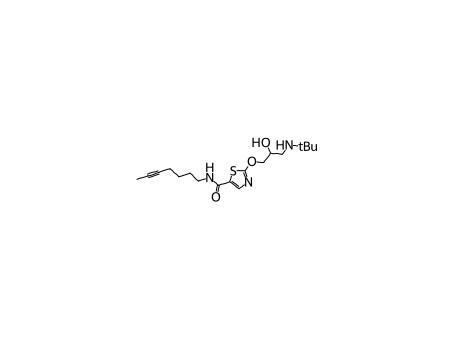 CC#CCCCCNC(=O)c1cnc(OCC(O)CNC(C)(C)C)s1